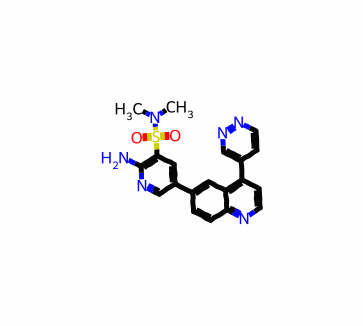 CN(C)S(=O)(=O)c1cc(-c2ccc3nccc(-c4ccnnc4)c3c2)cnc1N